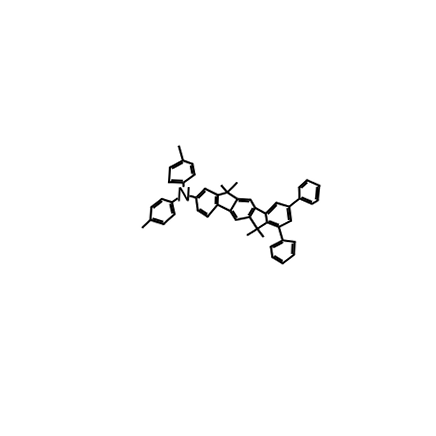 Cc1ccc(N(c2ccc(C)cc2)c2ccc3c(c2)C(C)(C)c2cc4c(cc2-3)C(C)(C)c2c(-c3ccccc3)cc(-c3ccccc3)cc2-4)cc1